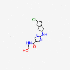 CC(CO)NC(=O)c1cnc(NC2Cc3ccc(Cl)cc3C2)nc1